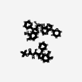 C[C@H](NC(=O)OC(C)(C)C)c1nc2ccc(F)c(Br)c2n1-c1ccccn1.C[C@H](Nc1ncnc2c1ncn2C1CCCCO1)c1nc2ccc(F)c(Br)c2n1-c1ccccn1